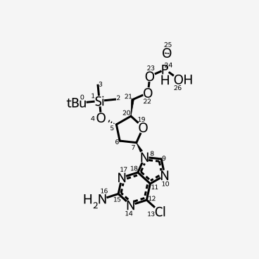 CC(C)(C)[Si](C)(C)O[C@H]1C[C@H](n2cnc3c(Cl)nc(N)nc32)O[C@@H]1COO[PH](=O)O